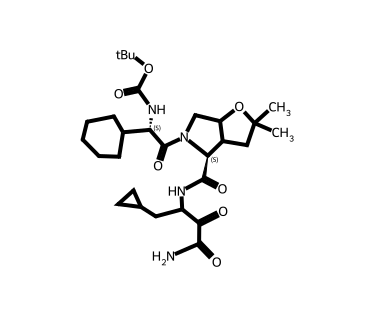 CC(C)(C)OC(=O)N[C@H](C(=O)N1CC2OC(C)(C)CC2[C@H]1C(=O)NC(CC1CC1)C(=O)C(N)=O)C1CCCCC1